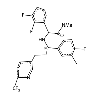 CNC(=O)C(N[C@@H](CCc1ccc(C(F)(F)F)nc1)c1ccc(F)c(C)c1)c1cccc(F)c1F